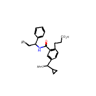 COC(c1ccc(CCC(=O)O)c(C(=O)NC(CC(C)C)c2ccccc2)c1)C1CC1